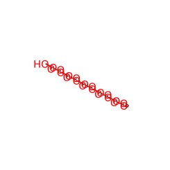 O=C(CCCCCO)OCCCCCC(=O)OCCCCCC(=O)OCCCCCC(=O)OCCCCCC(=O)OCCCCCC(=O)OCCCCCC(=O)OCCCCCC(=O)OCCCCCC(=O)OCCCCCC(=O)OC1CCCCC1